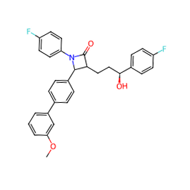 COc1cccc(-c2ccc(C3C(CC[C@H](O)c4ccc(F)cc4)C(=O)N3c3ccc(F)cc3)cc2)c1